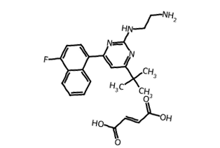 CC(C)(C)c1cc(-c2ccc(F)c3ccccc23)nc(NCCN)n1.O=C(O)/C=C/C(=O)O